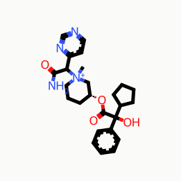 C[N+]1(C(C(N)=O)c2ccncn2)CCC[C@@H](OC(=O)C(O)(c2ccccc2)C2CCCC2)C1